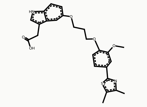 COc1cc(-c2nc(C)c(C)s2)ccc1OCCCOc1ccc2[nH]cc(CC(=O)O)c2c1